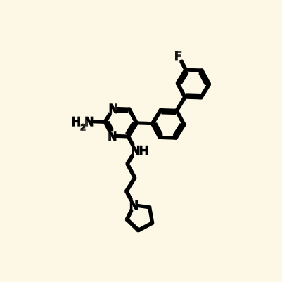 Nc1ncc(-c2cccc(-c3cccc(F)c3)c2)c(NCCCN2CCCC2)n1